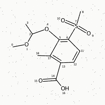 COC(C)Oc1c(S(C)(=O)=O)ccc(C(=O)O)c1C